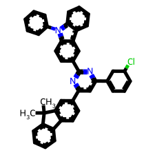 CC1(C)c2ccccc2-c2ccc(-c3cc(C4=CC=CC(Cl)C4)nc(-c4ccc5c(c4)c4ccccc4n5-c4ccccc4)n3)cc21